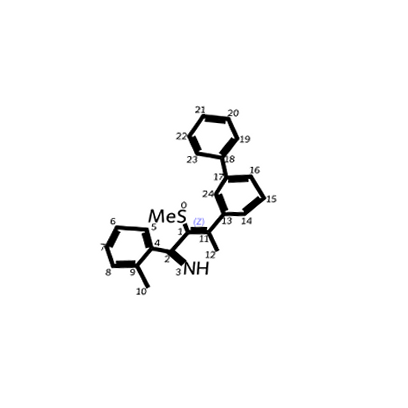 CS/C(C(=N)c1ccccc1C)=C(/C)c1cccc(-c2ccccc2)c1